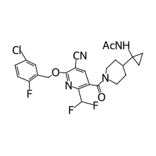 CC(=O)NC1(C2CCN(C(=O)c3cc(C#N)c(OCc4cc(Cl)ccc4F)nc3C(F)F)CC2)CC1